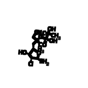 B[C@@H]1O[C@H](CC(C)(CC)OP(=O)(O)C(C)(C)O)[C@@H](O)[C@H]1Cl